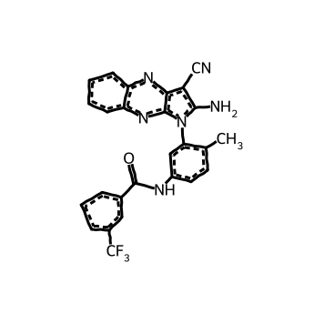 Cc1ccc(NC(=O)c2cccc(C(F)(F)F)c2)cc1-n1c(N)c(C#N)c2nc3ccccc3nc21